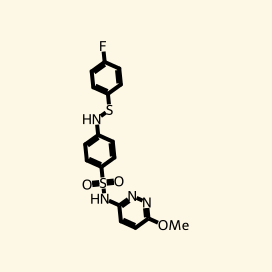 COc1ccc(NS(=O)(=O)c2ccc(NSc3ccc(F)cc3)cc2)nn1